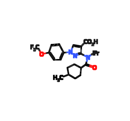 CC1CCC(C(=O)N(c2nn(-c3ccc(OC(F)(F)F)cc3)cc2C(=O)O)C(C)C)CC1